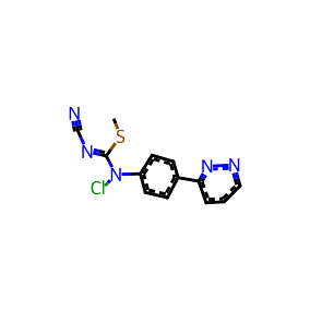 CSC(=NC#N)N(Cl)c1ccc(-c2cccnn2)cc1